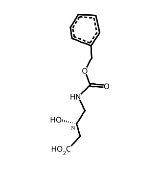 O=C(O)C[C@H](O)CNC(=O)OCc1ccccc1